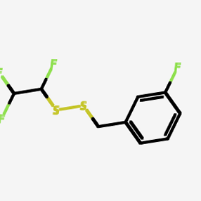 Fc1cccc(CSSC(F)C(F)F)c1